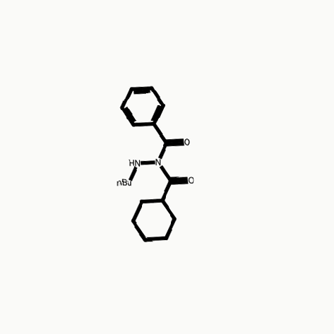 CCCCNN(C(=O)c1ccccc1)C(=O)C1CCCCC1